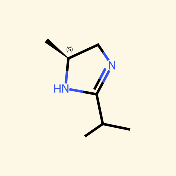 CC(C)C1=NC[C@H](C)N1